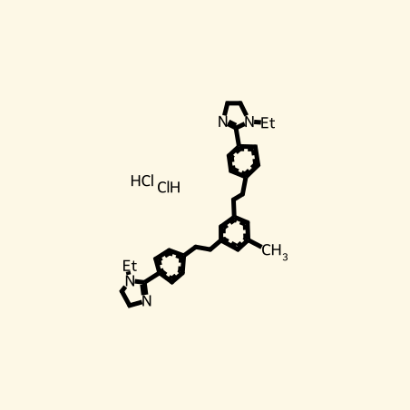 CCN1CCN=C1c1ccc(CCc2cc(C)cc(CCc3ccc(C4=NCCN4CC)cc3)c2)cc1.Cl.Cl